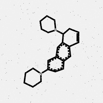 C1=Cc2cc3ccc(N4CCCCC4)cc3cc2C(N2CCCCC2)C1